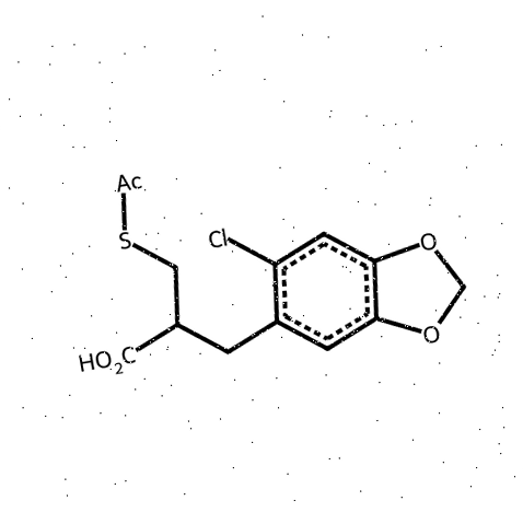 CC(=O)SCC(Cc1cc2c(cc1Cl)OCO2)C(=O)O